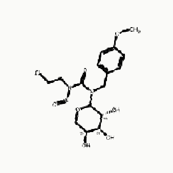 COc1ccc(CN(C(=O)N(CCCl)N=O)C2OC[C@H](O)[C@H](O)[C@H]2O)cc1